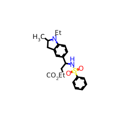 CCOC(=O)CC(NS(=O)(=O)c1ccccc1)c1ccc2c(c1)CC(C)N2CC